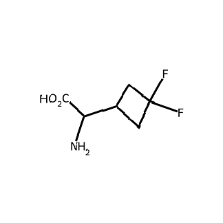 NC(C(=O)O)C1CC(F)(F)C1